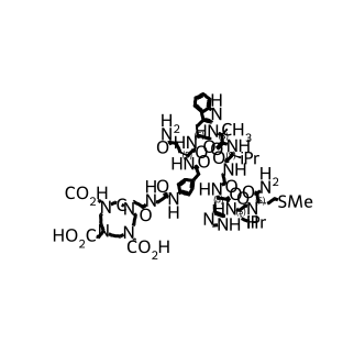 CSCC[C@H](NC(=O)[C@H](CC(C)C)NC(=O)[C@H](Cc1c[nH]cn1)NC(=O)CNC(=O)[C@@H](NC(=O)[C@H](C)NC(=O)[C@H](Cc1c[nH]c2ccccc12)NC(=O)[C@H](CCC(N)=O)NC(=O)Cc1ccc(NC(=O)CNC(=O)CN2CCN(CC(=O)O)CCN(CC(=O)O)CCN(CC(=O)O)CC2)cc1)C(C)C)C(N)=O